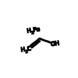 C=CO.[PoH2]